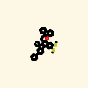 CCC1(CC)c2cc(-c3ccccc3)ccc2-c2c1c1c(c3cc(SC)c(SC)cc23)OC(c2ccccc2)(c2ccccc2)C=C1